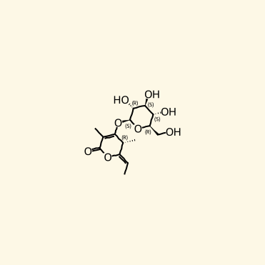 CC=C1OC(=O)C(C)=C(O[C@@H]2O[C@H](CO)[C@@H](O)[C@H](O)[C@H]2O)[C@@H]1C